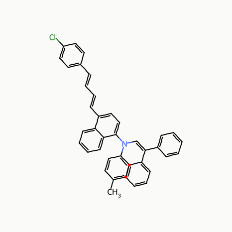 Cc1ccc(N(C=C(c2ccccc2)c2ccccc2)c2ccc(C=CC=Cc3ccc(Cl)cc3)c3ccccc23)cc1